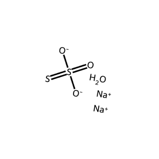 O.O=S([O-])([O-])=S.[Na+].[Na+]